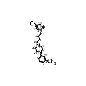 FC(F)(F)c1cccc(N2CCN(CCCCn3cc(Cl)cn3)CC2)c1